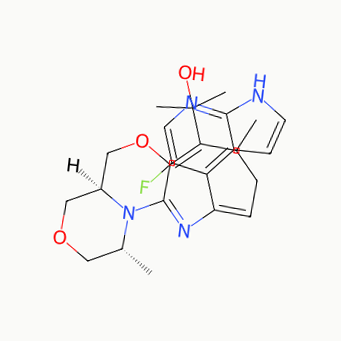 CC1C/C=C(c2c(F)cnc3[nH]ccc23)/N=C2\C(=C/1C(C)(C)O)OC[C@@H]1COC[C@@H](C)N21